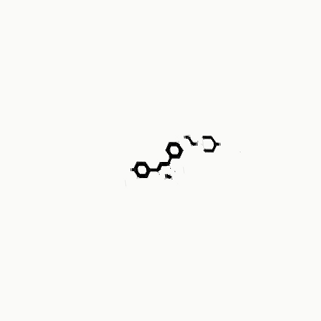 CCC(Oc1ccc(-c2cc(-c3ccc(O)c(C)c3)nc(=O)[nH]2)cc1)C(=O)N1CCC(C(=O)O)CC1